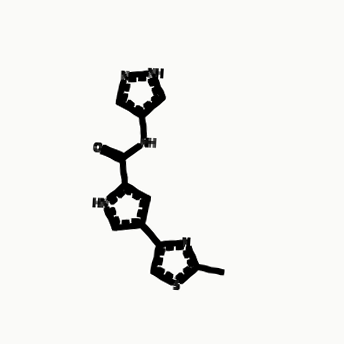 Cc1nc(-c2c[nH]c(C(=O)Nc3cn[nH]c3)c2)cs1